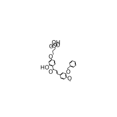 COc1ccc(/C=C/C(=O)c2ccc(OCCCS(=O)(=O)O)cc2O)cc1OCc1ccccc1